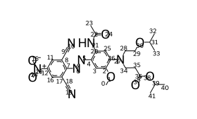 COc1cc(N=Nc2c(C#N)cc([N+](=O)[O-])cc2C#N)c(NC(C)=O)cc1N(CCOC(C)C)CCC(=O)OC(C)C